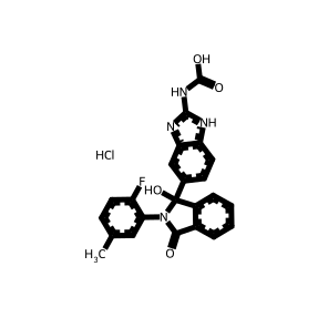 Cc1ccc(F)c(N2C(=O)c3ccccc3C2(O)c2ccc3[nH]c(NC(=O)O)nc3c2)c1.Cl